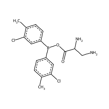 Cc1ccc(B(OC(=O)C(N)CN)c2ccc(C)c(Cl)c2)cc1Cl